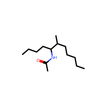 CCCCCC(C)C(CCCC)NC(C)=O